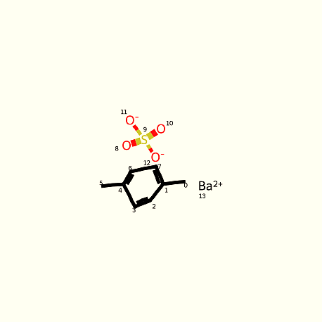 Cc1ccc(C)cc1.O=S(=O)([O-])[O-].[Ba+2]